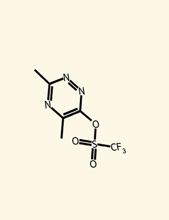 Cc1nnc(OS(=O)(=O)C(F)(F)F)c(C)n1